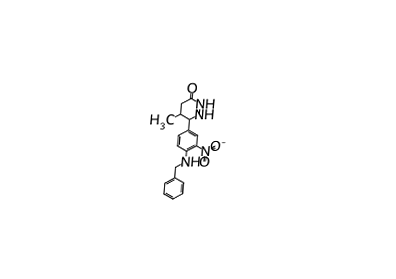 CC1CC(=O)NNC1c1ccc(NCc2ccccc2)c([N+](=O)[O-])c1